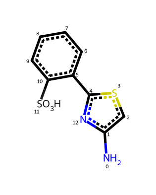 Nc1csc(-c2ccccc2S(=O)(=O)O)n1